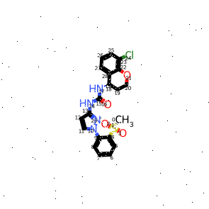 CS(=O)(=O)c1ccccc1-n1ccc(NC(=O)N[C@H]2CCOc3c(Cl)cccc32)n1